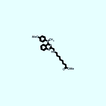 COC(=O)CCCCCCCNCc1nc(N(C)c2ccc(OC)cc2)c2ccccc2n1